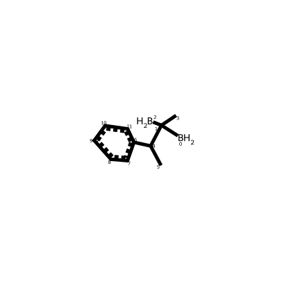 BC(B)(C)C(C)c1ccccc1